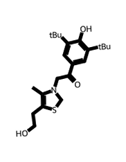 CC1=C(CCO)SCN1CC(=O)c1cc(C(C)(C)C)c(O)c(C(C)(C)C)c1